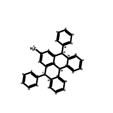 Cc1cc2c3c(c1)B(c1ccccc1)c1ccccc1B3c1ccccc1B2c1ccccc1